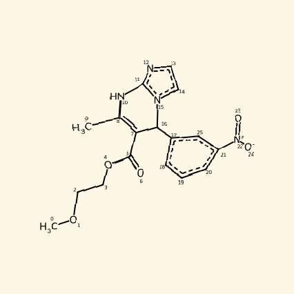 COCCOC(=O)C1=C(C)Nc2nccn2C1c1cccc([N+](=O)[O-])c1